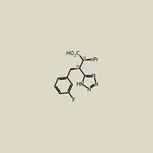 CCC[C@H](C(=O)O)[C@H](Cc1cccc(F)c1)c1nnn[nH]1